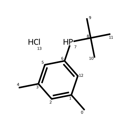 Cc1cc(C)cc(PC(C)(C)C)c1.Cl